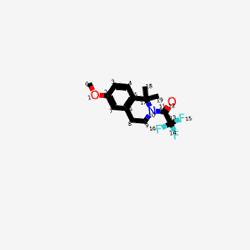 COc1ccc2c(c1)CCN(C(=O)C(F)(F)F)C2(C)C